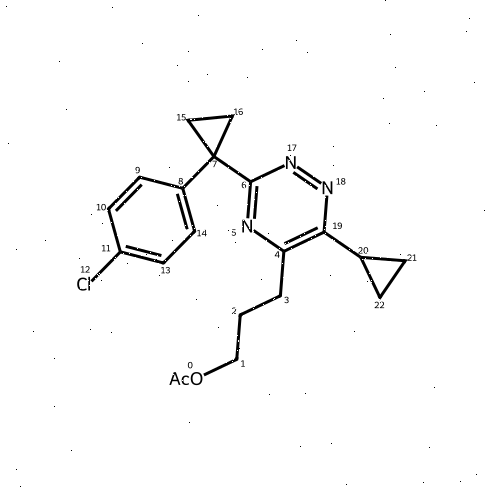 CC(=O)OCCCc1nc(C2(c3ccc(Cl)cc3)CC2)nnc1C1CC1